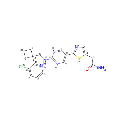 NC(=O)Cc1cnc(-c2cnc(NCC3(c4ncccc4Cl)CCC3)nc2)s1